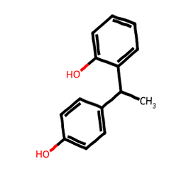 CC(c1ccc(O)cc1)c1ccccc1O